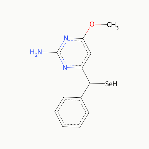 COc1cc(C([SeH])c2ccccc2)nc(N)n1